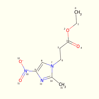 CCOC(=O)CCn1cc([N+](=O)[O-])nc1C